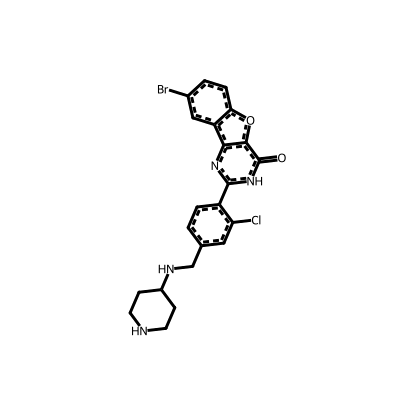 O=c1[nH]c(-c2ccc(CNC3CCNCC3)cc2Cl)nc2c1oc1ccc(Br)cc12